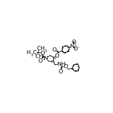 CC(C)(C)OC(=O)N1C[C@H](CNC(=O)OCc2ccccc2)[C@H](OC(=O)c2ccc([N+](=O)[O-])cc2)C1